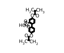 C=C(C)C(=O)Oc1ccc(-c2ccc(OC(=O)C(=C)C)cc2S(=O)(=O)O)cc1